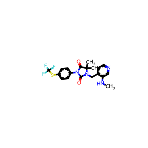 CNc1cnccc1CN1C(=O)N(c2ccc(SC(F)(F)F)cc2)C(=O)C1(C)C